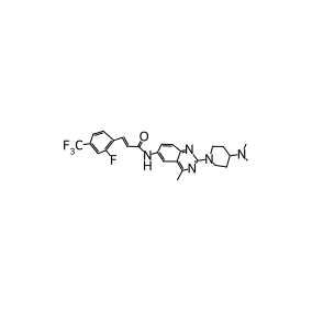 Cc1nc(N2CCC(N(C)C)CC2)nc2ccc(NC(=O)C=Cc3ccc(C(F)(F)F)cc3F)cc12